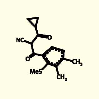 CSc1c(C(=O)C(C#N)C(=O)C2CC2)ccc(C)c1C